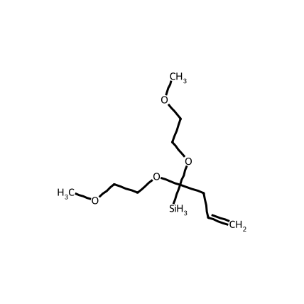 C=CCC([SiH3])(OCCOC)OCCOC